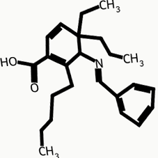 CCCCCC1=C(C(=O)O)C=CC(CC)(CCC)C1N=Cc1ccccc1